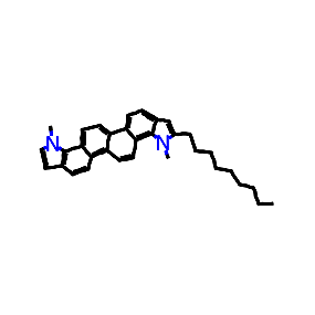 CCCCCCCCCc1cc2ccc3c4ccc5c(ccc6ccn(C)c65)c4ccc3c2n1C